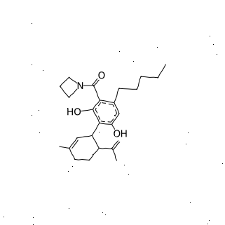 C=C(C)C1CCC(C)=CC1c1c(O)cc(CCCCC)c(C(=O)N2CCC2)c1O